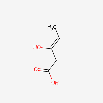 CC=C(O)CC(=O)O